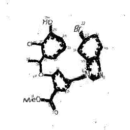 COC(=O)c1sc(-n2cnc3ccc(Br)cc32)cc1OC(C)c1cccc(O)c1Cl